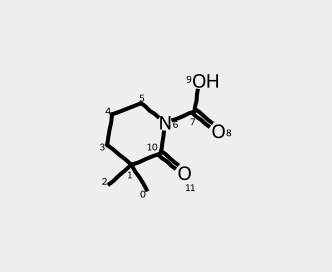 CC1(C)CCCN(C(=O)O)C1=O